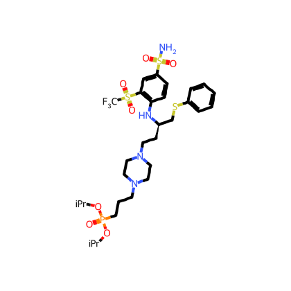 CC(C)OP(=O)(CCCN1CCN(CC[C@H](CSc2ccccc2)Nc2ccc(S(N)(=O)=O)cc2S(=O)(=O)C(F)(F)F)CC1)OC(C)C